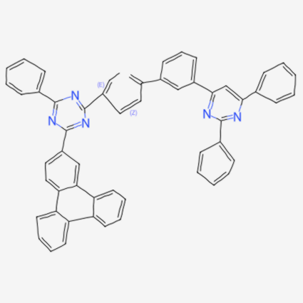 C=C(/C=C\C(=C/C)c1nc(-c2ccccc2)nc(-c2ccc3c4ccccc4c4ccccc4c3c2)n1)c1cccc(-c2cc(-c3ccccc3)nc(-c3ccccc3)n2)c1